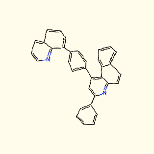 c1ccc(-c2cc(-c3ccc(-c4cccc5cccnc45)cc3)c3c(ccc4ccccc43)n2)cc1